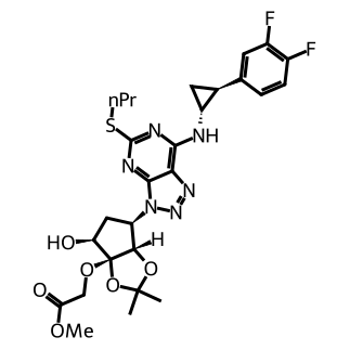 CCCSc1nc(N[C@@H]2C[C@H]2c2ccc(F)c(F)c2)c2nnn([C@@H]3C[C@H](O)[C@@]4(OCC(=O)OC)OC(C)(C)O[C@@H]34)c2n1